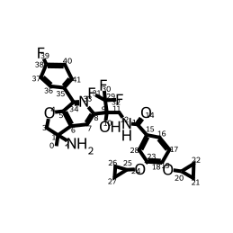 CC1(N)COc2c1cc(C(O)(CNC(=O)c1ccc(OC3CC3)c(OC3CC3)c1)C(F)(F)F)nc2-c1ccc(F)cc1